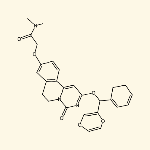 CN(C)C(=O)COc1ccc2c(c1)CCn1c-2cc(OC(C2=CC=CCC2)C2=COC=CO2)nc1=O